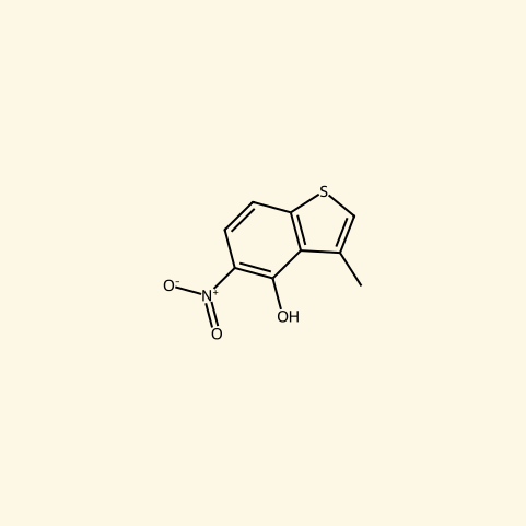 Cc1csc2ccc([N+](=O)[O-])c(O)c12